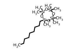 [CH2]CCCCCCCC[Si]1(C)O[Si](C)(C)O[Si](C)(C)O[Si](C)(C)O1